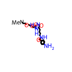 CNCCOCCOCC(=O)NC(CCCCNC(=O)c1ccc(N)cc1)C(N)=O